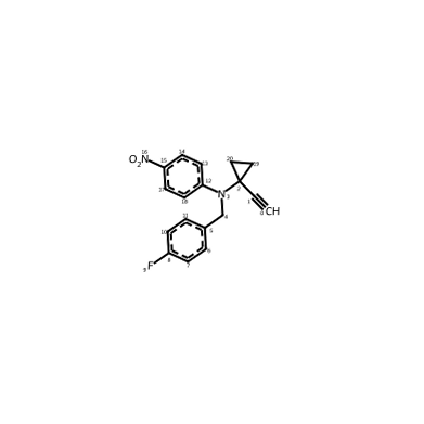 C#CC1(N(Cc2ccc(F)cc2)c2ccc([N+](=O)[O-])cc2)CC1